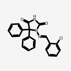 O=C1NC(=O)C(c2ccccc2)(c2ccccc2)N1N=Cc1ccccc1Cl